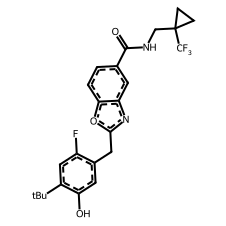 CC(C)(C)c1cc(F)c(Cc2nc3cc(C(=O)NCC4(C(F)(F)F)CC4)ccc3o2)cc1O